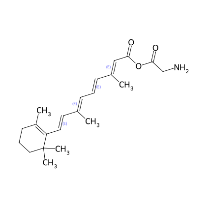 CC1=C(/C=C/C(C)=C/C=C/C(C)=C/C(=O)OC(=O)CN)C(C)(C)CCC1